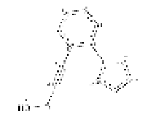 OCC#Cc1ccccc1-c1cccs1